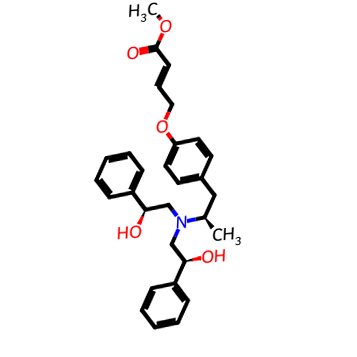 COC(=O)/C=C/COc1ccc(C[C@@H](C)N(C[C@@H](O)c2ccccc2)C[C@@H](O)c2ccccc2)cc1